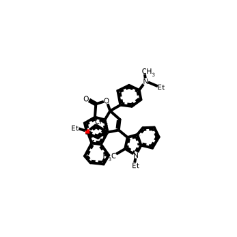 CCN(C)c1ccc(C2(C=C(c3c(C)n(CC)c4ccccc34)c3c(C)n(CC)c4ccccc34)OC(=O)c3ccccc32)cc1